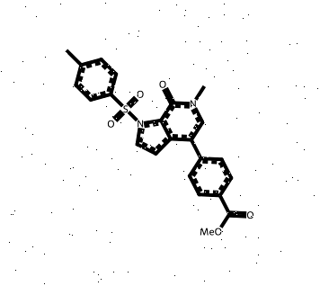 COC(=O)c1ccc(-c2cn(C)c(=O)c3c2ccn3S(=O)(=O)c2ccc(C)cc2)cc1